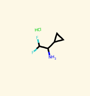 Cl.NC(C(F)F)C1CC1